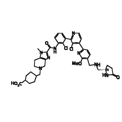 COc1nc(-c2ccnc(-c3cccc(NC(=O)c4nc5c(n4C)CCN(CC4CCC(C(=O)O)CC4)C5)c3Cl)c2Cl)ccc1CNC[C@@H]1CCC(=O)N1